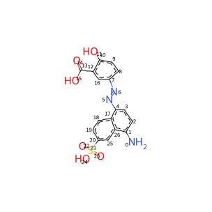 Nc1ccc(/N=N/c2ccc(O)c(C(=O)O)c2)c2ccc(S(=O)(=O)O)cc12